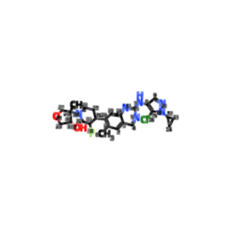 Cc1cc2cnc(Nc3cnn(C4CC4)c3Cl)nc2cc1C1CCN(C2(C)COC[C@H]2O)CC1F